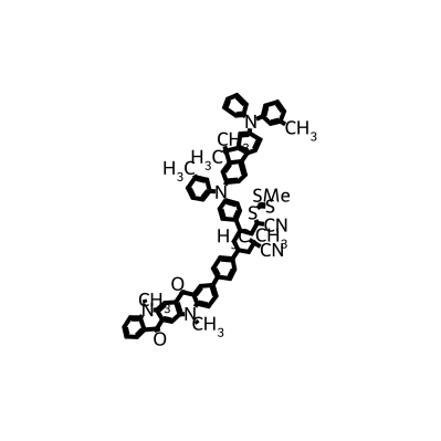 CSC(=S)SC(C#N)CC(CC(CC(C)(C)C#N)c1ccc(-c2ccc3c(c2)c(=O)c2cc4c(cc2n3C)c(=O)c2ccccc2n4C)cc1)c1ccc(N(c2cccc(C)c2)c2ccc3c(c2)C(C)(C)c2cc(N(c4ccccc4)c4cccc(C)c4)ccc2-3)cc1